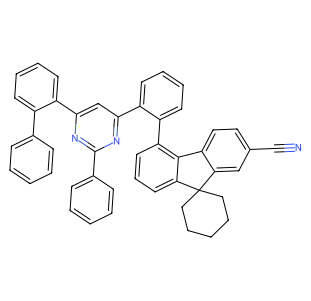 N#Cc1ccc2c(c1)C1(CCCCC1)c1cccc(-c3ccccc3-c3cc(-c4ccccc4-c4ccccc4)nc(-c4ccccc4)n3)c1-2